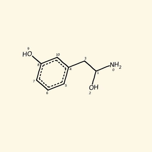 NC(O)Cc1cccc(O)c1